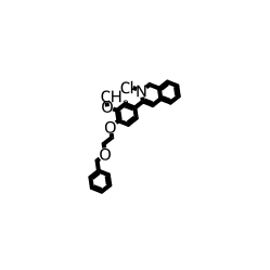 COc1cc(C2=Cc3ccccc3CN2Cl)ccc1OCCOCc1ccccc1